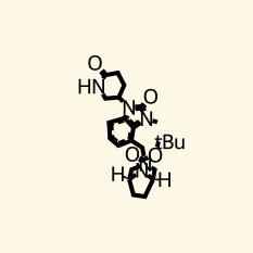 Cn1c(=O)n(C2CCC(=O)NC2)c2cccc(CN3C[C@H]4CC[C@@H](C3)N4C(=O)OC(C)(C)C)c21